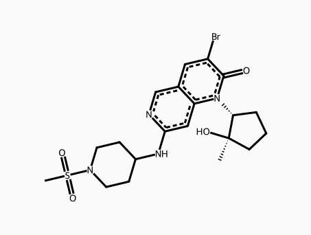 C[C@@]1(O)CCC[C@H]1n1c(=O)c(Br)cc2cnc(NC3CCN(S(C)(=O)=O)CC3)cc21